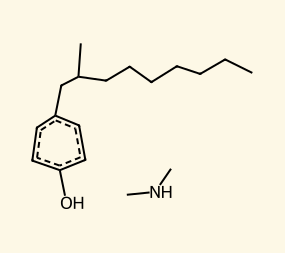 CCCCCCCC(C)Cc1ccc(O)cc1.CNC